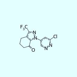 O=C1CCCc2c(C(F)(F)F)nn(-c3cnnc(Cl)c3)c21